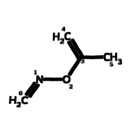 C=NOC(=C)C